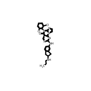 CCCNC1Cc2ccc(Nc3ncc4c(=O)n(-c5c(Cl)cccc5Cl)c5nccn5c4n3)cc2C1